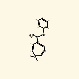 CC1(C)C=CC=C(C(P)Nc2ccccc2)N=C1